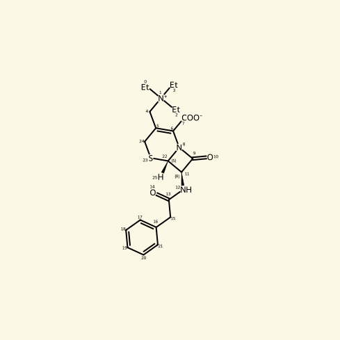 CC[N+](CC)(CC)CC1=C(C(=O)[O-])N2C(=O)[C@@H](NC(=O)Cc3ccccc3)[C@@H]2SC1